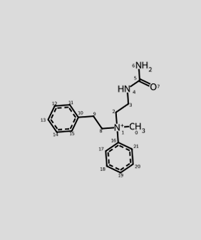 C[N+](CCNC(N)=O)(CCc1ccccc1)c1ccccc1